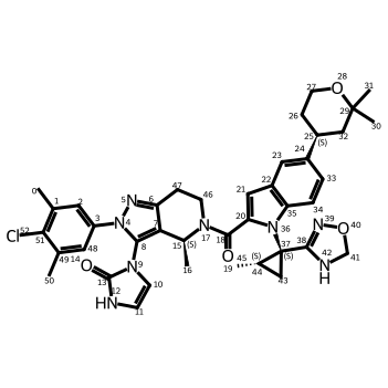 Cc1cc(-n2nc3c(c2-n2cc[nH]c2=O)[C@H](C)N(C(=O)c2cc4cc([C@H]5CCOC(C)(C)C5)ccc4n2[C@@]2(C4=NOCN4)C[C@@H]2C)CC3)cc(C)c1Cl